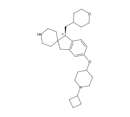 c1cc2c(cc1OC1CCN(C3CCC3)CC1)CC1(CCNCC1)[C@H]2CC1CCOCC1